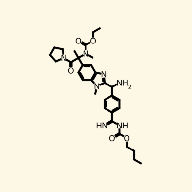 CCCCOC(=O)NC(=N)c1ccc(C(N)c2nc3cc(C(C)(C(=O)N4CCCC4)N(C)C(=O)OCC)ccc3n2C)cc1